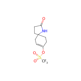 O=C1CCC2(CC=C(OS(=O)(=O)C(F)(F)F)CC2)N1